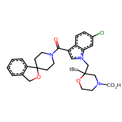 CC(C)(C)C1(Cn2cc(C(=O)N3CCC4(CC3)OCc3ccccc34)c3ccc(Cl)cc32)CN(C(=O)O)CCO1